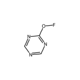 FOc1ncncn1